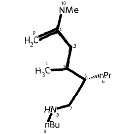 C=C(CC(C)[C@H](CCC)CNCCCC)NC